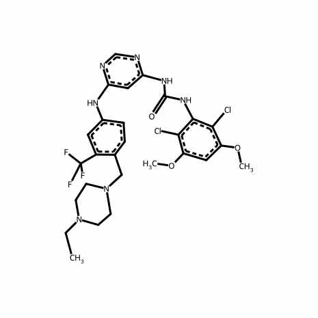 CCN1CCN(Cc2ccc(Nc3cc(NC(=O)Nc4c(Cl)c(OC)cc(OC)c4Cl)ncn3)cc2C(F)(F)F)CC1